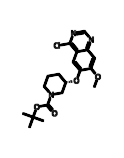 COc1cc2ncnc(Cl)c2cc1O[C@H]1CCCN(C(=O)OC(C)(C)C)C1